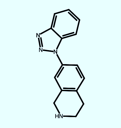 c1ccc2c(c1)nnn2-c1ccc2c(c1)CNCC2